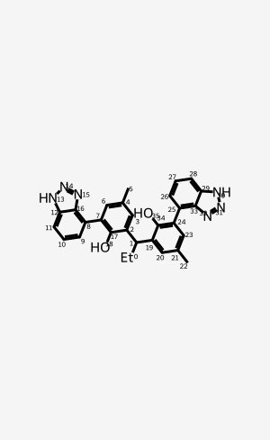 CCC(c1cc(C)cc(-c2cccc3[nH]nnc23)c1O)c1cc(C)cc(-c2cccc3[nH]nnc23)c1O